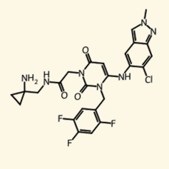 Cn1cc2cc(Nc3cc(=O)n(CC(=O)NCC4(N)CC4)c(=O)n3Cc3cc(F)c(F)cc3F)c(Cl)cc2n1